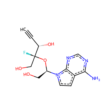 C#C[C@H](O)[C@@](F)(CO)O[C@H](CO)n1ccc2c(N)ncnc21